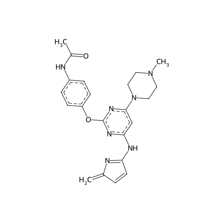 C=C1C=CC(Nc2cc(N3CCN(C)CC3)nc(Oc3ccc(NC(C)=O)cc3)n2)=N1